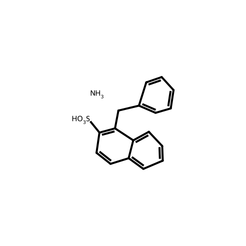 N.O=S(=O)(O)c1ccc2ccccc2c1Cc1ccccc1